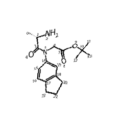 C[C@H](N)C(=O)N(CC(=O)OC(C)(C)C)c1ccc2c(c1)CCC2